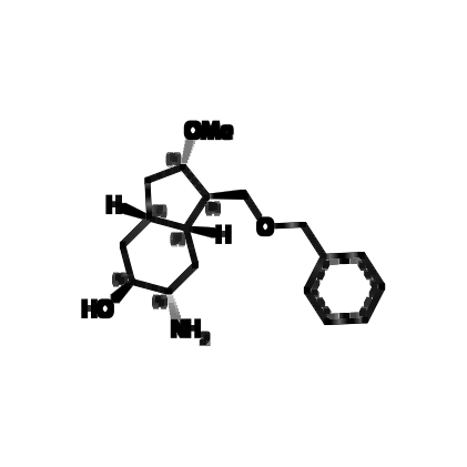 CO[C@H]1C[C@H]2C[C@H](O)[C@@H](N)C[C@H]2[C@@H]1COCc1ccccc1